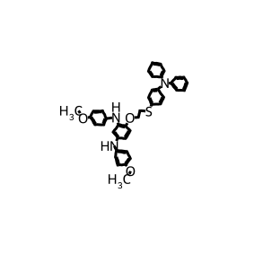 COc1ccc(Nc2ccc(OCCSc3ccc(N(c4ccccc4)c4ccccc4)cc3)c(Nc3ccc(OC)cc3)c2)cc1